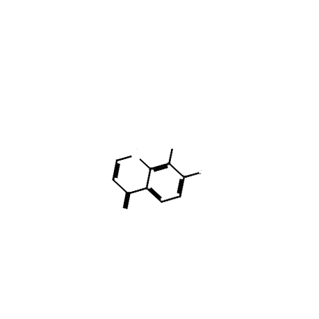 O=c1ccoc2c(F)c([N+](=O)[O-])ccc12